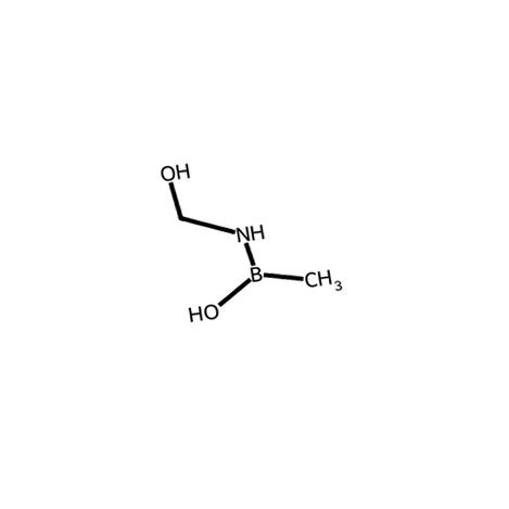 CB(O)NCO